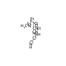 CC/C=C(\C=C(\Cl)Cc1cc2cnc(Nc3ccc(C4=CCNCC4)cc3)nc2n(CC)c1=O)c1cnc(C)s1